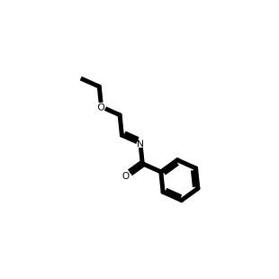 CCOCC=NC(=O)c1ccccc1